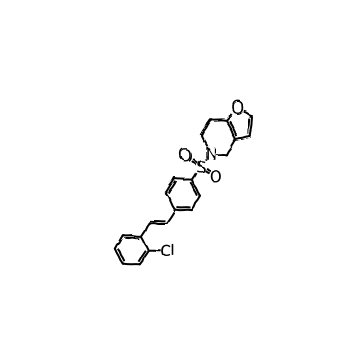 O=S(=O)(c1ccc(C=Cc2ccccc2Cl)cc1)N1CCc2occc2C1